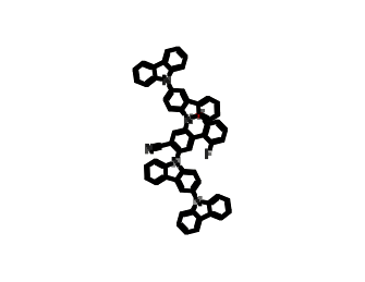 N#Cc1cc(-n2c3ccccc3c3cc(-n4c5ccccc5c5ccccc54)ccc32)c(-c2c(F)cccc2F)cc1-n1c2ccccc2c2cc(-n3c4ccccc4c4ccccc43)ccc21